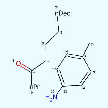 CCCCCCCCCCCCCC(=O)CCC.Cc1ccc(N)cc1